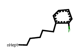 CCCCCCCCCCCCc1ccccc1F